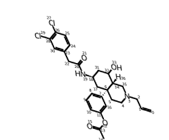 C=CCN1CC[C@@]2(c3cccc(OC(C)=O)c3)C[C@@H](NC(=O)Cc3ccc(Cl)c(Cl)c3)CC(O)[C@@H]2C1